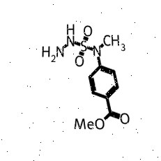 COC(=O)c1ccc(N(C)S(=O)(=O)NN)cc1